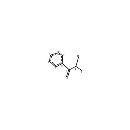 C=C(c1ccccc1)C(C)C